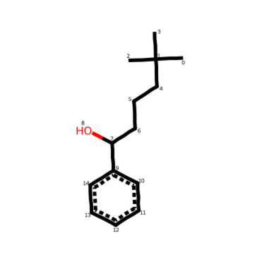 CC(C)(C)CCCC(O)c1ccccc1